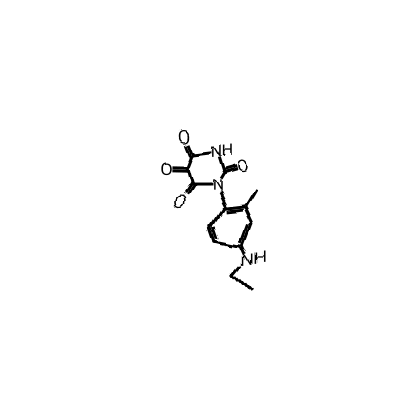 CCNc1ccc(N2C(=O)NC(=O)C(=O)C2=O)c(C)c1